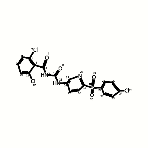 O=C(NC(=O)c1c(Cl)cccc1Cl)Nc1ccc(S(=O)(=O)c2ccc(Cl)cc2)nc1